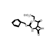 CCOC(=O)COC(=O)C1NC(=O)C1NC(=O)OCc1ccccc1